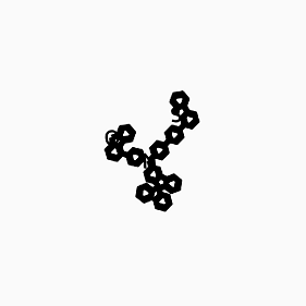 c1ccc(C2(c3ccccc3)c3ccccc3-c3cc(N(c4ccc(-c5ccc(-c6cccc7c6sc6ccccc67)cc5)cc4)c4ccc(-c5cccc6oc7ccccc7c56)cc4)ccc32)cc1